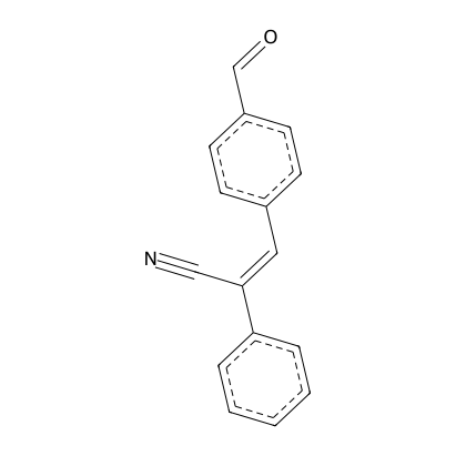 N#CC(=Cc1ccc(C=O)cc1)c1ccccc1